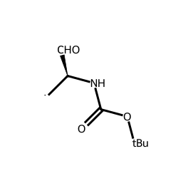 [CH2][C@@H](C=O)NC(=O)OC(C)(C)C